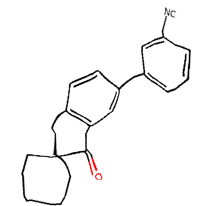 [C-]#[N+]c1cccc(-c2ccc3c(c2)C(=O)C2(CCCCC2)C3)c1